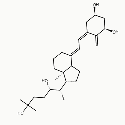 C=C1/C(=C\C=C2CCC[C@@]3(C)C2CC[C@@H]3[C@H](C)[C@@H](O)CCC(C)(C)O)C[C@@H](O)C[C@H]1O